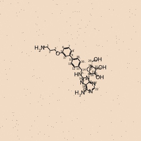 NCCCOc1cccc(-c2ccc(CNc3nc4c(N)ncnc4n3[C@@H]3O[C@H](CO)[C@@H](O)[C@H]3O)cc2)c1